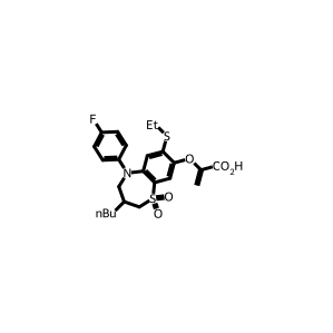 C=C(Oc1cc2c(cc1SCC)N(c1ccc(F)cc1)CC(CCCC)CS2(=O)=O)C(=O)O